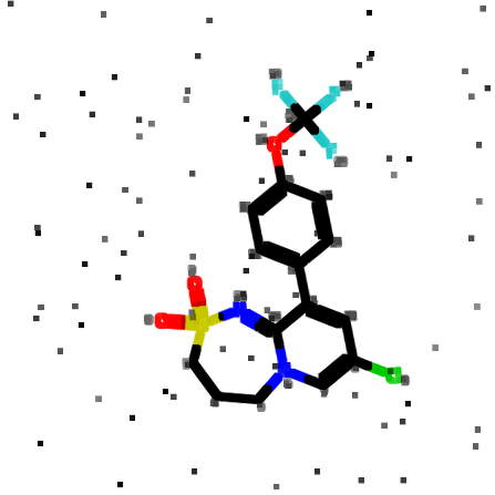 O=S1(=O)CCCN2C=C(Cl)C=C(c3ccc(OC(F)(F)F)cc3)C2=N1